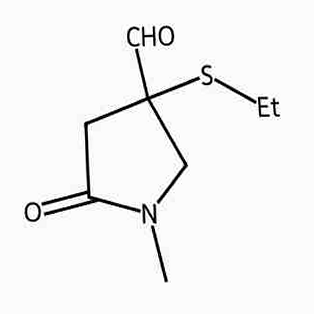 CCSC1(C=O)CC(=O)N(C)C1